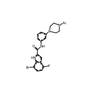 CC(=O)N1CCN(c2cccc(NC(=O)c3cc4c(F)ccc(Br)c4[nH]3)c2)CC1